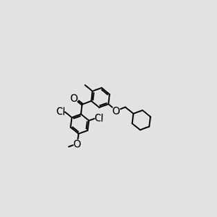 COc1cc(Cl)c(C(=O)c2cc(OCC3CCCCC3)ccc2C)c(Cl)c1